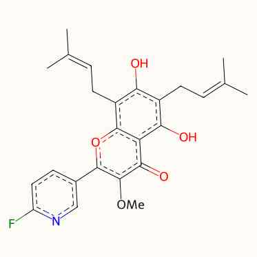 COc1c(-c2ccc(F)nc2)oc2c(CC=C(C)C)c(O)c(CC=C(C)C)c(O)c2c1=O